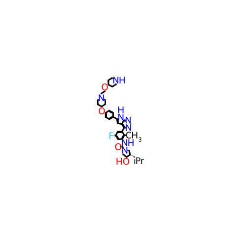 Cc1c(NC(=O)N2C[C@H](CC(C)C)[C@@H](O)C2)cc(F)cc1-c1ncnc2[nH]c(-c3ccc(OC4CCN(CCOC5CCNCC5)CC4)cc3)cc12